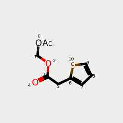 CC(=O)OCOC(=O)[CH]c1cccs1